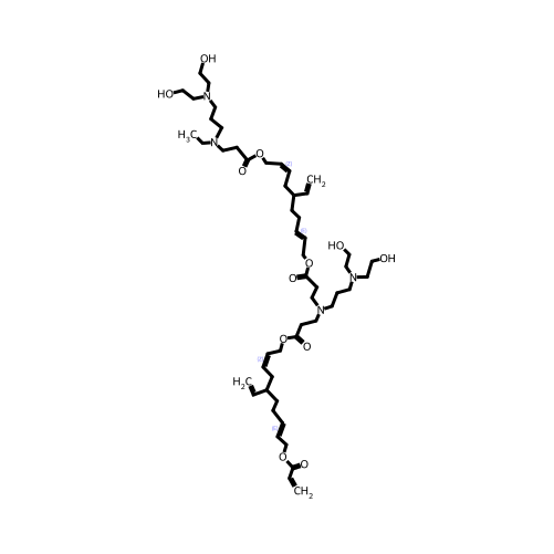 C=CC(=O)OC/C=C/CCC(C=C)C/C=C\COC(=O)CCN(CCCN(CCO)CCO)CCC(=O)OC/C=C/CCC(C=C)C/C=C\COC(=O)CCN(CC)CCCN(CCO)CCO